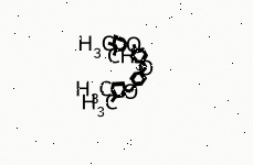 Cc1ccc(Oc2ccc(Oc3ccc(Oc4ccc(C)c(C)c4)cc3)cc2)cc1C